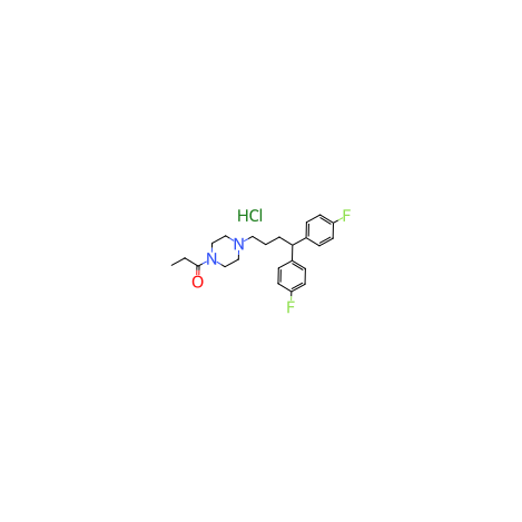 CCC(=O)N1CCN(CCCC(c2ccc(F)cc2)c2ccc(F)cc2)CC1.Cl